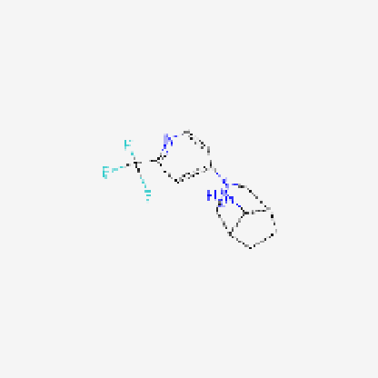 NC1C2CCC1CN(c1ccnc(C(F)(F)F)c1)C2